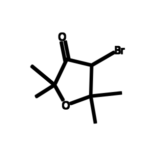 CC1(C)OC(C)(C)C(Br)C1=O